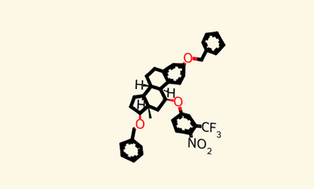 C[C@]12C[C@H](Oc3ccc([N+](=O)[O-])c(C(F)(F)F)c3)[C@@H]3c4ccc(OCc5ccccc5)cc4CC[C@H]3[C@@H]1CC[C@@H]2OCc1ccccc1